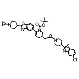 CC(C)(C)OC(=O)N1C[C@@H](CC2CC2N2CCC(c3nc4cc(Cl)ccc4s3)CC2)CC=C1c1ccc2sc(C3CCN(C4CC4)CC3)nc2c1